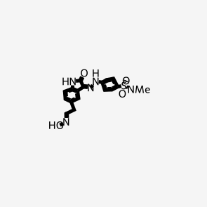 CNS(=O)(=O)c1ccc(NN=C2C(=O)Nc3ccc(CC=NO)cc32)cc1